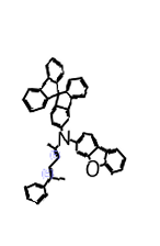 C/C(=C\C=C(/C)N(c1ccc2c(c1)-c1ccccc1C21c2ccccc2-c2ccccc21)c1ccc2c(c1)oc1ccccc12)c1ccccc1